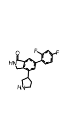 O=C1NCc2c1cc(-c1ccc(F)cc1F)cc2C1CCNC1